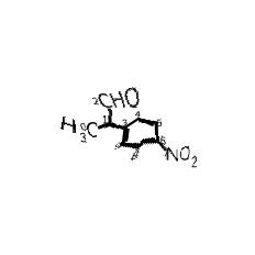 CC(C=O)c1ccc([N+](=O)[O-])cc1